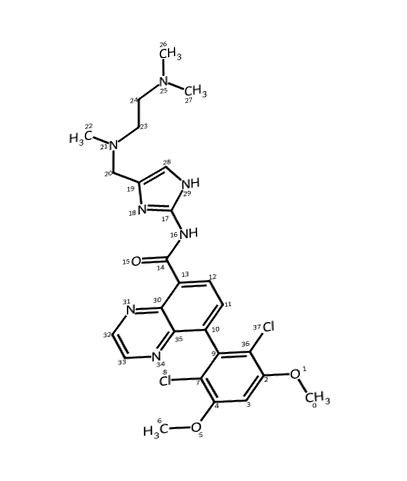 COc1cc(OC)c(Cl)c(-c2ccc(C(=O)Nc3nc(CN(C)CCN(C)C)c[nH]3)c3nccnc23)c1Cl